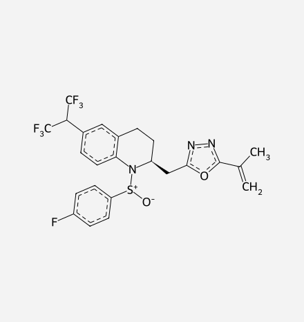 C=C(C)c1nnc(C[C@@H]2CCc3cc(C(C(F)(F)F)C(F)(F)F)ccc3N2[S+]([O-])c2ccc(F)cc2)o1